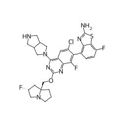 Nc1nc2c(-c3c(Cl)cc4c(N5CC6CNCC6C5)nc(OC[C@@]56CCCN5C[C@H](F)C6)nc4c3F)ccc(F)c2s1